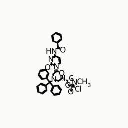 CN(C)[P@](=O)(Cl)OC[C@@H]1CN(C(c2ccccc2)(c2ccccc2)c2ccccc2)C[C@H](n2ccc(NC(=O)c3ccccc3)nc2=O)O1